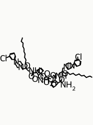 CCCCCCCCCCOC(CNC(=O)C1C2C=CC(OC(=O)C(=O)OC34C=CC(C3)C(C(N)=O)C4C(=O)NCC(CN3CCN(c4cccc(Cl)c4)CC3)OCCCCCCCCCC)(C2)C1C(N)=O)CN1CCN(c2cccc(Cl)c2)CC1